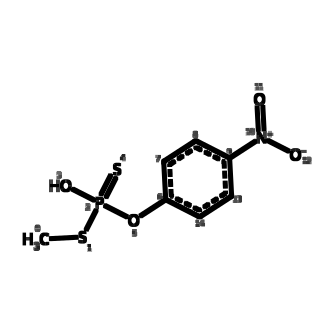 CSP(O)(=S)Oc1ccc([N+](=O)[O-])cc1